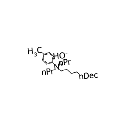 CCCCCCCCCCCCCC[N+](CCC)(CCC)c1ccc(C)cc1.[OH-]